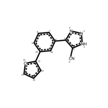 N#Cc1[nH]nnc1-c1cccc(-c2ccco2)c1